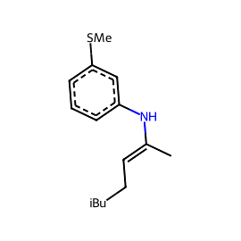 CCC(C)CC=C(C)Nc1cccc(SC)c1